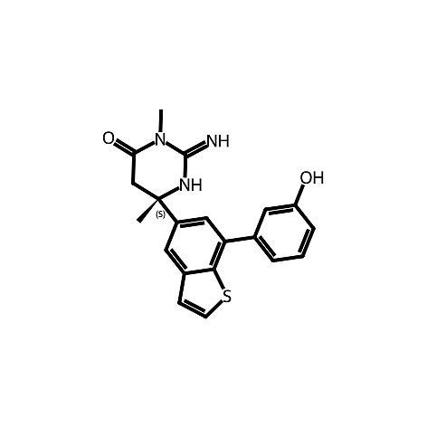 CN1C(=N)N[C@](C)(c2cc(-c3cccc(O)c3)c3sccc3c2)CC1=O